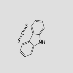 S=C=S.c1ccc2c(c1)[nH]c1ccccc12